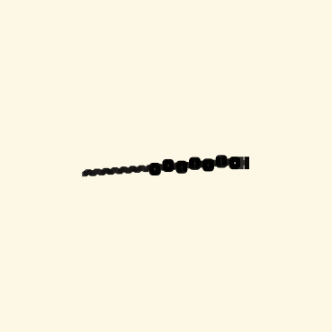 CCCCCCCCCCCCCCCCOCCOCCOCCOCCOCCOCCO